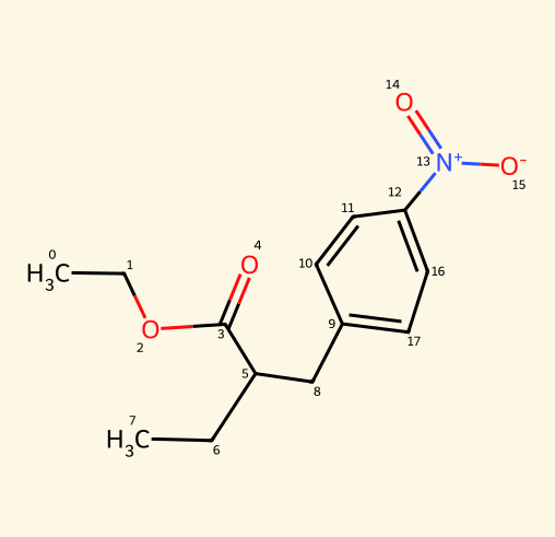 CCOC(=O)C(CC)Cc1ccc([N+](=O)[O-])cc1